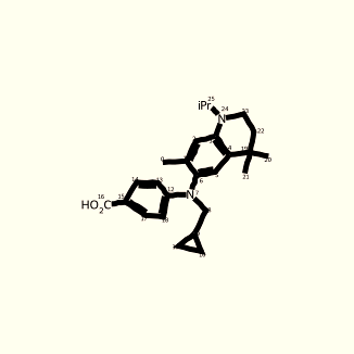 Cc1cc2c(cc1N(CC1CC1)c1ccc(C(=O)O)cc1)C(C)(C)CCN2C(C)C